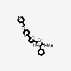 CNC(=O)[C@@H](NC(=O)c1ccc(-c2ccc(OCc3ccncc3)cn2)o1)C1CCCCC1